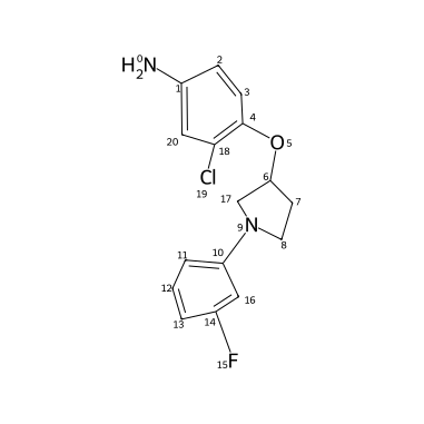 Nc1ccc(OC2CCN(c3cccc(F)c3)C2)c(Cl)c1